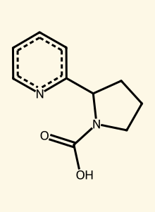 O=C(O)N1CCCC1c1ccccn1